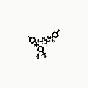 Cc1ccc(S(=O)(=O)SC2=N[C@](C)(CS(=O)(=O)c3ccc(F)cc3)C(=O)N2c2ccc(C#N)c(C(F)(F)F)c2)cc1